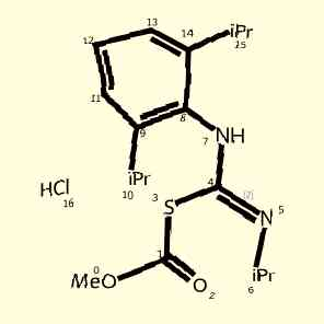 COC(=O)S/C(=N\C(C)C)Nc1c(C(C)C)cccc1C(C)C.Cl